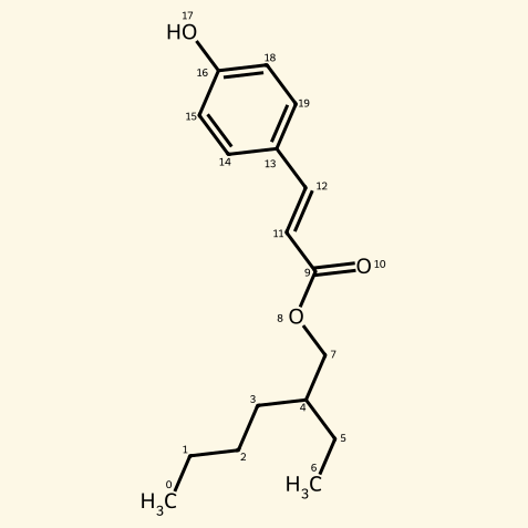 CCCCC(CC)COC(=O)/C=C/c1ccc(O)cc1